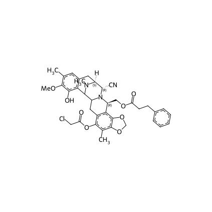 COc1c(C)cc2c(c1O)C1C3Cc4c(OC(=O)CCl)c(C)c5c(c4[C@H](COC(=O)CCc4ccccc4)N3[C@@H](C#N)[C@H](C2)N1C)OCO5